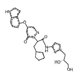 O=C(Nc1ccn(C[C@@H](O)CO)n1)C(CC1CCCC1)n1ncc(Oc2cccc3[nH]ccc23)cc1=O